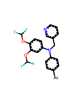 CC(=O)c1ccc(N(Cc2cccnc2)c2ccc(OC(F)F)c(OC(F)F)c2)cc1